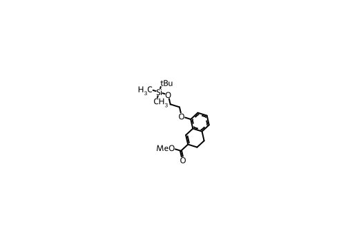 COC(=O)C1=Cc2c(cccc2OCCO[Si](C)(C)C(C)(C)C)CC1